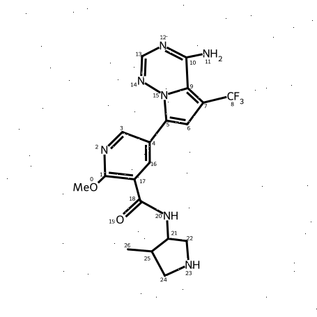 COc1ncc(-c2cc(C(F)(F)F)c3c(N)ncnn23)cc1C(=O)NC1CNCC1C